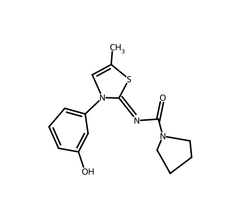 Cc1cn(-c2cccc(O)c2)c(=NC(=O)N2CCCC2)s1